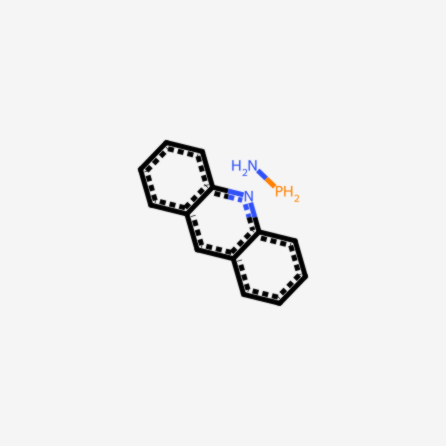 NP.c1ccc2nc3ccccc3cc2c1